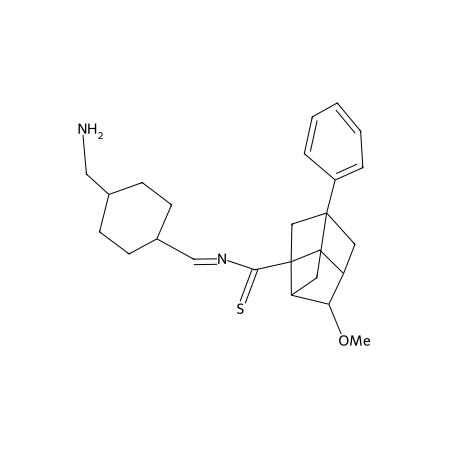 COC1C2CC3(c4ccccc4)CC1C(C(=S)/N=C/C1CCC(CN)CC1)(C2)C3